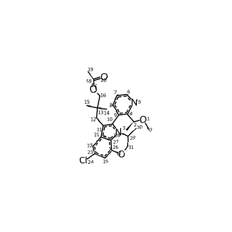 CO[C@@H](C)c1ncccc1-c1c(CC(C)(C)COC(C)=O)c2cc(Cl)cc3c2n1C(C)CO3